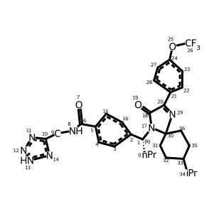 CCC[C@H](c1ccc(C(=O)NCc2nn[nH]n2)cc1)N1C(=O)C(c2ccc(OC(F)(F)F)cc2)=NC12CCC(C(C)C)CC2